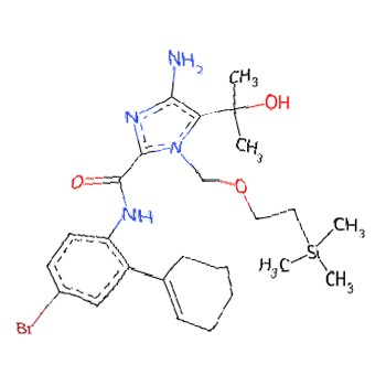 CC(C)(O)c1c(N)nc(C(=O)Nc2ccc(Br)cc2C2=CCCCC2)n1COCC[Si](C)(C)C